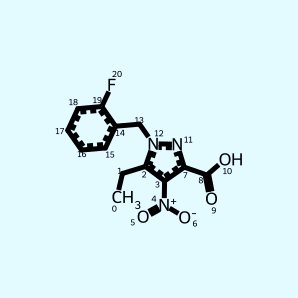 CCc1c([N+](=O)[O-])c(C(=O)O)nn1Cc1ccccc1F